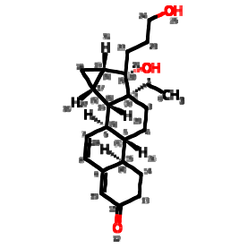 CC[C@]12CC[C@H]3[C@@H](C=CC4=CC(=O)CC[C@@H]43)[C@@H]1[C@@H]1C[C@@H]1[C@@]2(O)CCCO